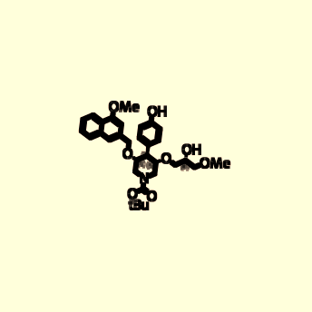 COC[C@@H](O)CO[C@@H]1CN(C(=O)OC(C)(C)C)C[C@H](OCc2cc(OC)c3ccccc3c2)[C@H]1c1ccc(O)cc1